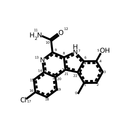 Cc1ccc(O)c2[nH]c3c(C(N)=O)nc4cc(Cl)ccc4c3c12